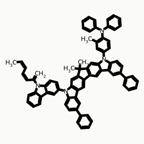 C=C(/C=C\C=C/C)n1c2ccccc2c2cc(-n3c4ccc(-c5ccccc5)cc4c4cc5c(cc43)C(C)(C)c3cc4c(cc3-5)c3cc(-c5ccccc5)ccc3n4-c3ccc(N(c4ccccc4)c4ccccc4)c(C)c3)ccc21